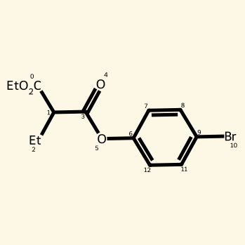 CCOC(=O)C(CC)C(=O)Oc1ccc(Br)cc1